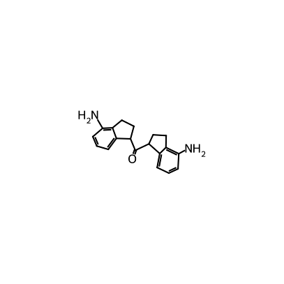 Nc1cccc2c1CCC2C(=O)C1CCc2c(N)cccc21